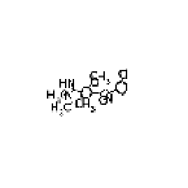 CCN(C)C(=N)c1cc(OC)c(C2CC(c3cccc(Cl)c3)=NO2)cc1C